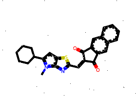 Cn1c(C2CCCCC2)cc2sc(C=C3C(=O)c4cc5ccccc5cc4C3=O)nc21